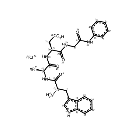 CCC[C@H](NC(=O)[C@@H](N)Cc1c[nH]c2ccccc12)C(=O)N[C@@H](CC(=O)O)C(=O)NCC(=O)Nc1ccccc1.Cl